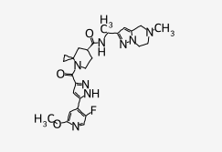 COc1cc(-c2cc(C(=O)N3CC[C@H](C(=O)NC(C)c4cc5n(n4)CCN(C)C5)CC34CC4)n[nH]2)c(F)cn1